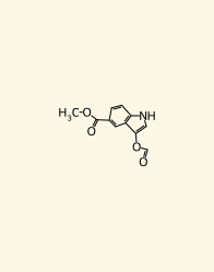 COC(=O)c1ccc2[nH]cc(OC=O)c2c1